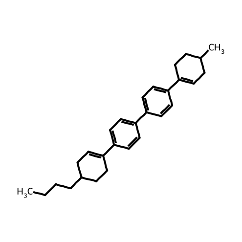 CCCCC1CC=C(c2ccc(-c3ccc(C4=CCC(C)CC4)cc3)cc2)CC1